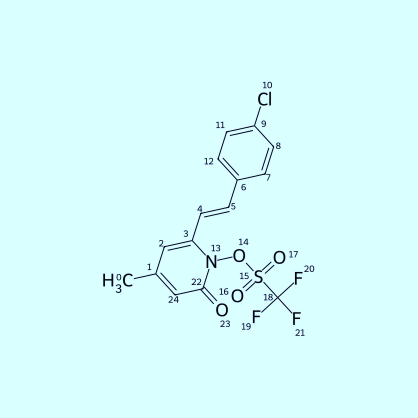 Cc1cc(C=Cc2ccc(Cl)cc2)n(OS(=O)(=O)C(F)(F)F)c(=O)c1